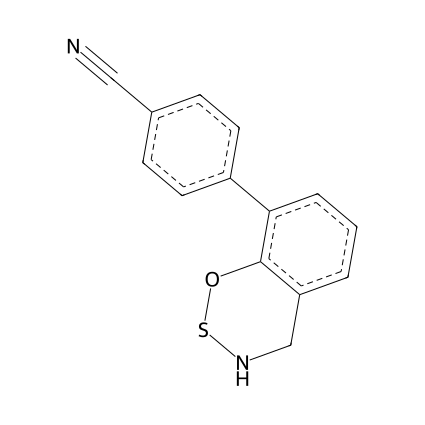 N#Cc1ccc(-c2cccc3c2OSNC3)cc1